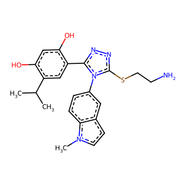 CC(C)c1cc(-c2nnc(SCCN)n2-c2ccc3c(ccn3C)c2)c(O)cc1O